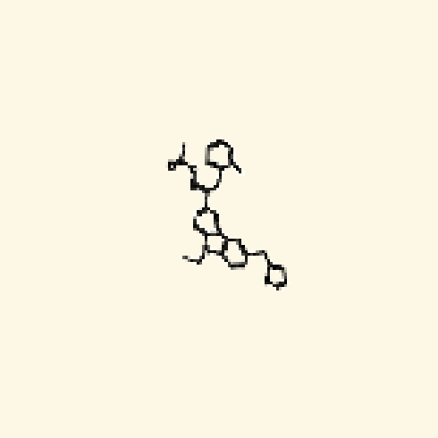 CCn1c2ccc(Cc3cccs3)cc2c2cc(/C(Cc3ccccc3C)=N/OC(C)=O)ccc21